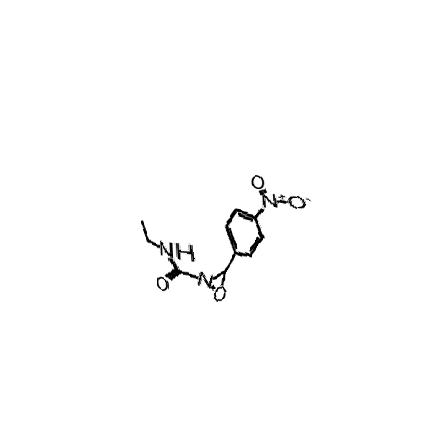 CCNC(=O)N1OC1c1ccc([N+](=O)[O-])cc1